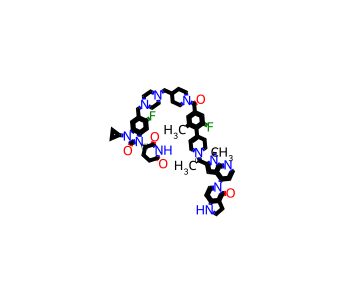 Cc1cc(C(=O)N2CCC(CN3CCN(Cc4cc5c(cc4F)n([C@H]4CCC(=O)NC4=O)c(=O)n5C4CC4)CC3)CC2)cc(F)c1C1=CCN([C@@H](C)c2cc3c(-n4ccc5c(c4=O)CCN5)ccnc3n2C)CC1